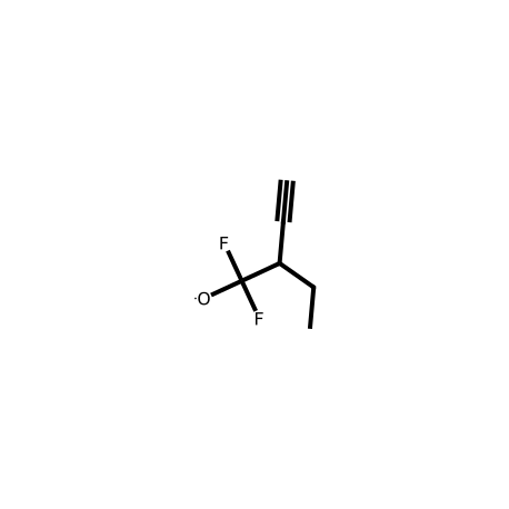 C#CC(CC)C([O])(F)F